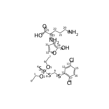 CCOP(=S)(OCC)SCSc1cc(Cl)ccc1Cl.NCCC[C@H](N)C(=O)O.Oc1ccco1